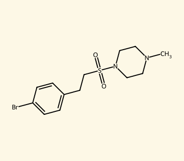 CN1CCN(S(=O)(=O)CCc2ccc(Br)cc2)CC1